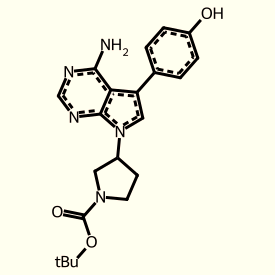 CC(C)(C)OC(=O)N1CCC(n2cc(-c3ccc(O)cc3)c3c(N)ncnc32)C1